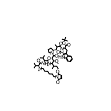 CCC(C)C(C(CC(=O)N1CCC[C@H]1C(OC)C(C)C(=O)NC(Cc1c[nH]c2ccccc12)C(=O)OC(C)(C)C)OC)N(C)C(=O)C(NC(=O)C(C(C)C)N(C)CCCCCCN1C(=O)C=CC1=O)C(C)C